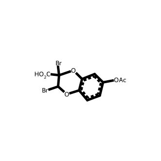 CC(=O)Oc1ccc2c(c1)OC(Br)(C(=O)O)C(Br)O2